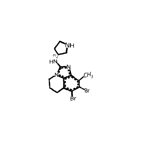 Cc1c(Br)c(Br)c2c3c1nc(N[C@@H]1CCNC1)n3CCC2